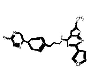 Cc1cc2c(NCCCc3ccc(-c4cnc(F)cn4)cc3)nc(-c3ccoc3)nc2s1